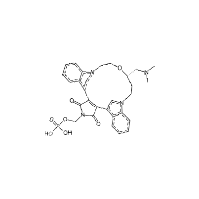 CN(C)C[C@@H]1CCn2cc(c3ccccc32)C2=C(C(=O)N(COP(=O)(O)O)C2=O)c2cn(c3ccccc23)CCO1